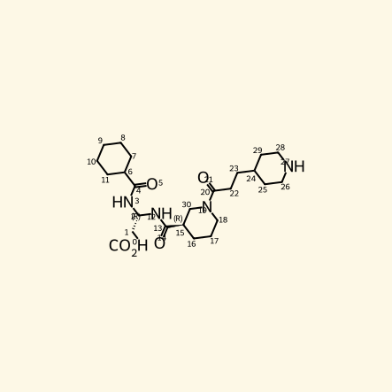 O=C(O)C[C@H](NC(=O)C1CCCCC1)NC(=O)[C@@H]1CCCN(C(=O)CCC2CCNCC2)C1